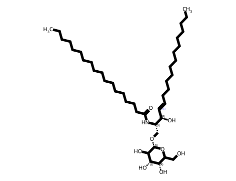 CCCCCCCCCCCCC/C=C/[C@@H](O)[C@H](CO[C@@H]1OC(CO)[C@H](O)[C@H](O)C1O)NC(=O)CCCCCCCCCCCCCCCCC